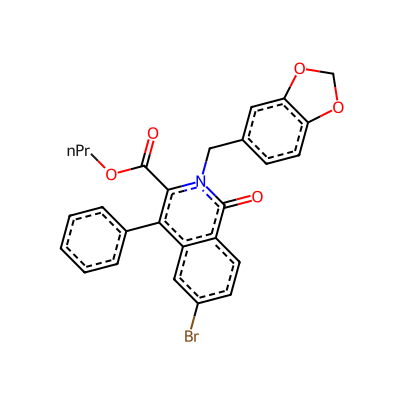 CCCOC(=O)c1c(-c2ccccc2)c2cc(Br)ccc2c(=O)n1Cc1ccc2c(c1)OCO2